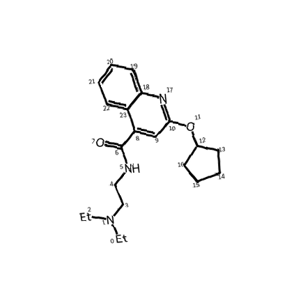 CCN(CC)CCNC(=O)c1cc(OC2CCCC2)nc2ccccc12